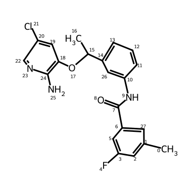 Cc1cc(F)cc(C(=O)Nc2cccc(C(C)Oc3cc(Cl)cnc3N)c2)c1